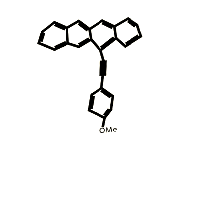 COc1ccc(C#Cc2c3ccccc3cc3cc4ccccc4cc23)cc1